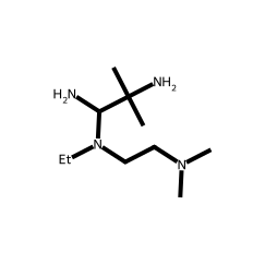 CCN(CCN(C)C)C(N)C(C)(C)N